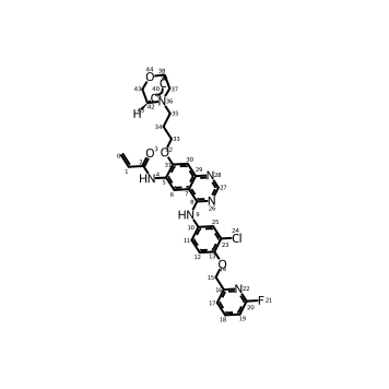 C=CC(=O)Nc1cc2c(Nc3ccc(OCc4cccc(F)n4)c(Cl)c3)ncnc2cc1OCCCN1CC2CCC[C@H]1CO2